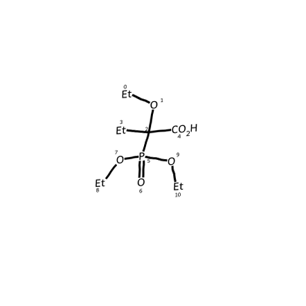 CCOC(CC)(C(=O)O)P(=O)(OCC)OCC